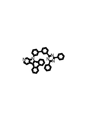 c1ccc(-c2nc(-c3ccccc3)nc(-c3cccc(-c4cccc(-n5c6cnccc6c6c7ccccc7c7ccccc7c65)c4)c3)n2)cc1